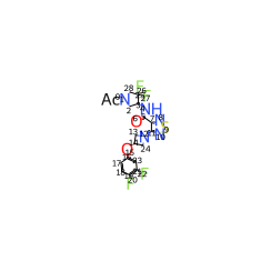 CC(=O)N1CC(NC(=O)c2nsnc2N2CC(Oc3ccc(F)c(F)c3)C2)C(F)(F)C1